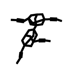 CC#CC12CC3CC(C#CC)(C1)CC(C14CC5CC(C#CC)(CC(C#CC)(C5)C1)C4)(C3)C2